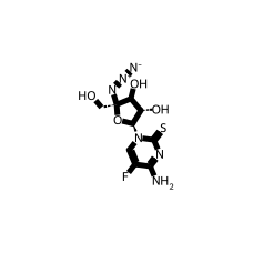 [N-]=[N+]=N[C@]1(CO)O[C@@H](n2cc(F)c(N)nc2=S)[C@@H](O)C1O